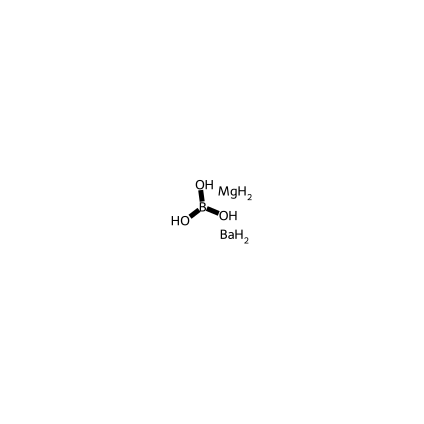 OB(O)O.[BaH2].[MgH2]